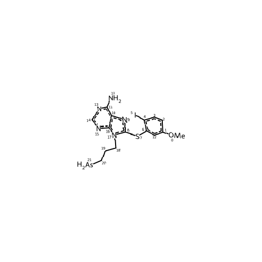 COc1ccc(I)c(Sc2nc3c(N)ncnc3n2CCC[AsH2])c1